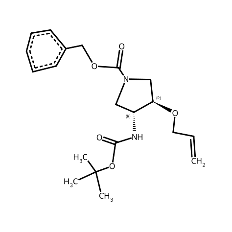 C=CCO[C@@H]1CN(C(=O)OCc2ccccc2)C[C@H]1NC(=O)OC(C)(C)C